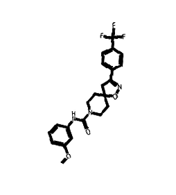 COc1cccc(NC(=O)N2CCC3(CC2)CC(c2ccc(C(F)(F)F)cc2)=NO3)c1